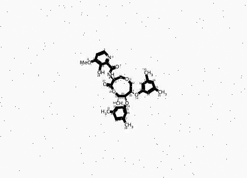 COc1ccnc(C(=O)N[C@H]2COC[C@H](Oc3cc(C)cc(C)c3)[C@@H](Oc3cc(C)cc(C)c3)[C@H](C)OC2=O)c1O